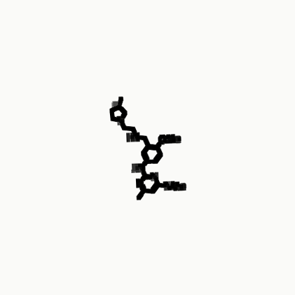 CNc1cc(C)nc(Nc2ccc(OC)c(CNCCN3CC[C@@H](C)C3)c2)n1